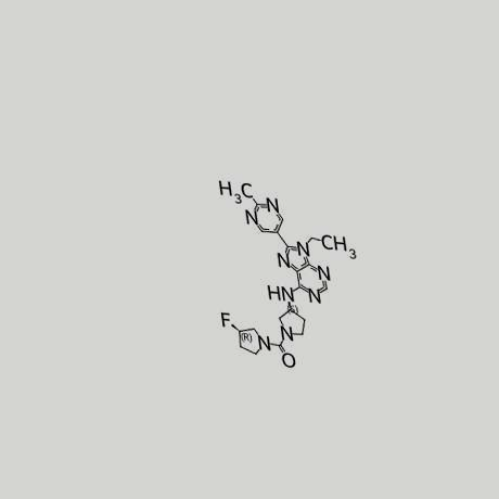 CCn1c(-c2cnc(C)nc2)nc2c(N[C@H]3CCN(C(=O)N4CC[C@@H](F)C4)C3)ncnc21